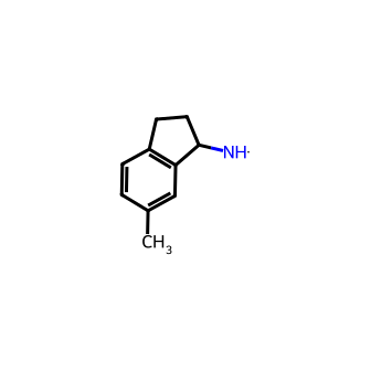 Cc1ccc2c(c1)C([NH])CC2